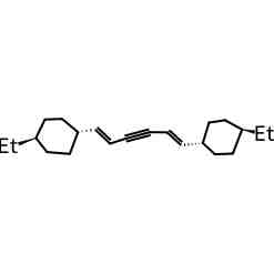 CC[C@H]1CC[C@H](C=CC#CC=C[C@H]2CC[C@H](CC)CC2)CC1